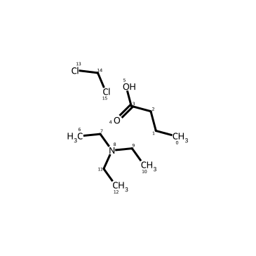 CCCC(=O)O.CCN(CC)CC.ClCCl